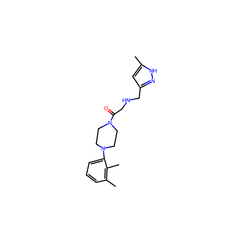 Cc1cc(CNCC(=O)N2CCN(c3cccc(C)c3C)CC2)n[nH]1